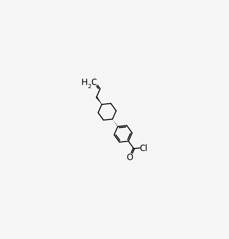 C=CC[C@H]1CC[C@H](c2ccc(C(=O)Cl)cc2)CC1